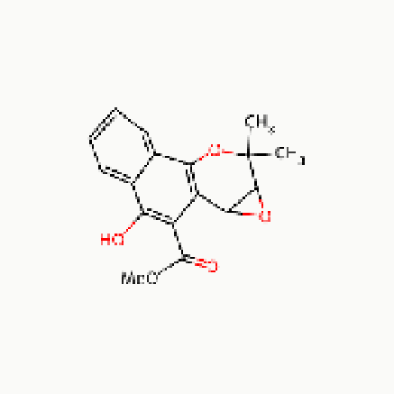 COC(=O)c1c2c(c3ccccc3c1O)OC(C)(C)C1OC21